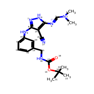 CN(C)/C=N/c1[nH]nc(Nc2cccc(CNC(=O)OC(C)(C)C)c2)c1C#N